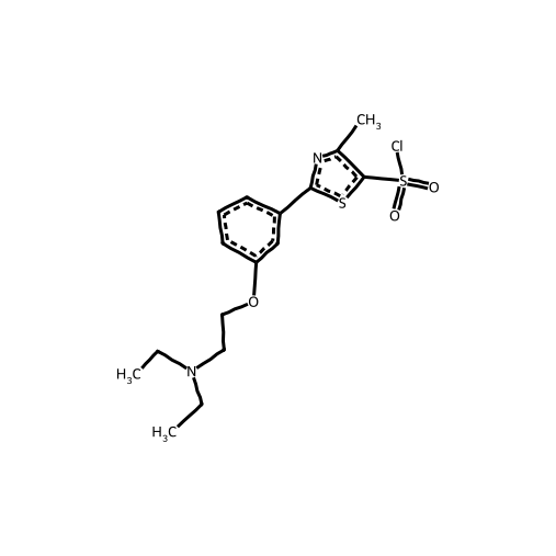 CCN(CC)CCOc1cccc(-c2nc(C)c(S(=O)(=O)Cl)s2)c1